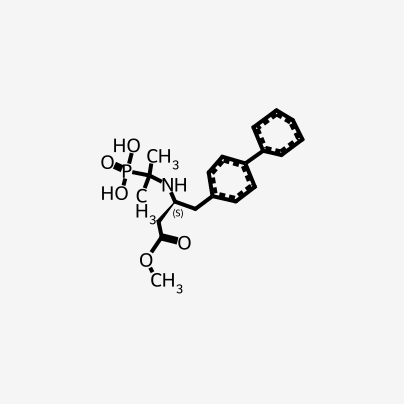 COC(=O)C[C@H](Cc1ccc(-c2ccccc2)cc1)NC(C)(C)P(=O)(O)O